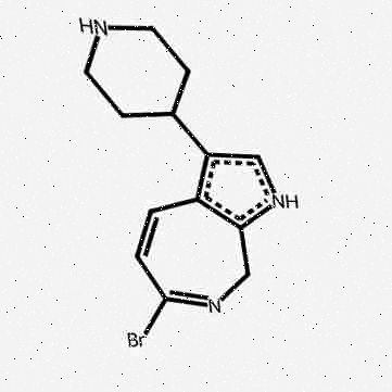 BrC1=NCc2[nH]cc(C3CCNCC3)c2C=C1